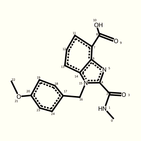 CNC(=O)c1nc2c(C(=O)O)cccc2n1Cc1ccc(OC)cc1